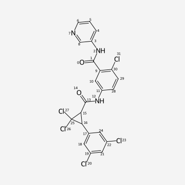 O=C(Nc1cccnc1)c1cc(NC(=O)C2C(c3cc(Cl)cc(Cl)c3)C2(Cl)Cl)ccc1Cl